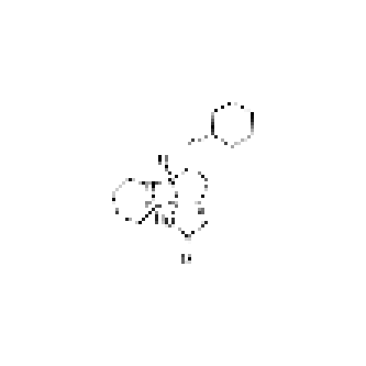 O=C1C=C2CC(SC3CCCCC3)[C@H]3N4CCCC[C@@H]4C23O1